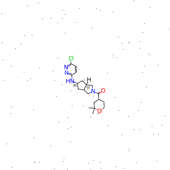 CC1(C)CC(C(=O)N2CC3C[C@@H](Nc4ccc(Cl)nn4)C[C@@H]3C2)CCO1